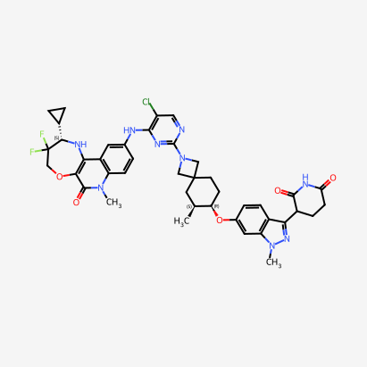 C[C@H]1CC2(CC[C@H]1Oc1ccc3c(C4CCC(=O)NC4=O)nn(C)c3c1)CN(c1ncc(Cl)c(Nc3ccc4c(c3)c3c(c(=O)n4C)OCC(F)(F)[C@H](C4CC4)N3)n1)C2